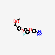 CCOC(=O)[C@H]1C[C@@H]1c1ccc(O[C@@H]2CCc3c(Oc4ccc(-c5nnn(C)n5)cc4)ccc(F)c32)cc1